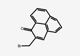 O=C1C(CBr)=Cc2cccc3cccc1c23